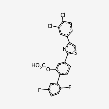 O=C(O)Oc1cc(-c2nc(-c3ccc(Cl)c(Cl)c3)cs2)ccc1-c1cc(F)ccc1F